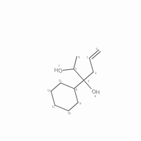 C=CCC(O)(C(C)O)C1CCCCC1